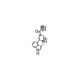 CC[C@@H](C)NC(=O)[C@@H]1C=C2c3cccc4[nH]cc(c34)C[C@H]2N(C)C1